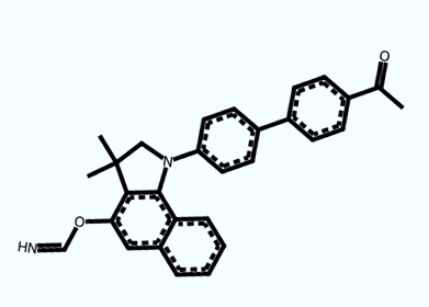 CC(=O)c1ccc(-c2ccc(N3CC(C)(C)c4c(OC=N)cc5ccccc5c43)cc2)cc1